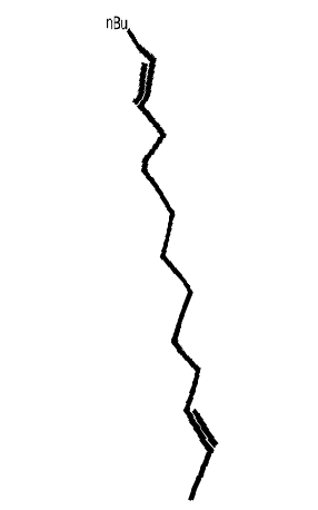 [CH2]CCCC=CCCCCCCCC=CC